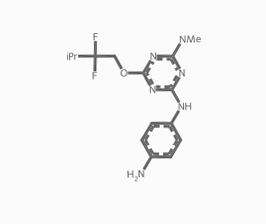 CNc1nc(Nc2ccc(N)cc2)nc(OCC(F)(F)C(C)C)n1